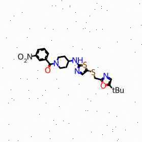 CC(C)(C)c1cnc(CSc2cnc(NC3CCN(C(=O)c4cccc([N+](=O)[O-])c4)CC3)s2)o1